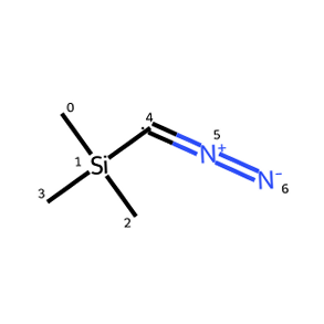 C[Si](C)(C)[C]=[N+]=[N-]